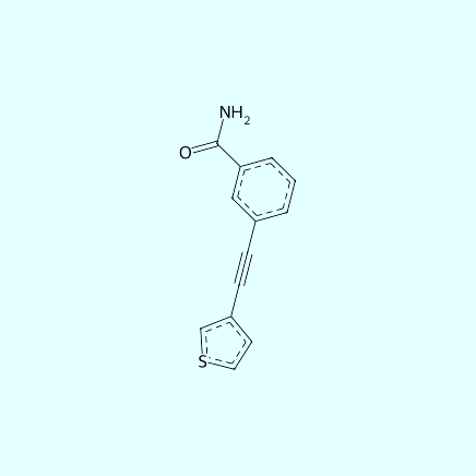 NC(=O)c1cccc(C#Cc2ccsc2)c1